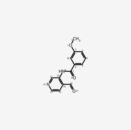 COc1cccc(C(=O)Nc2cnccc2C=O)c1